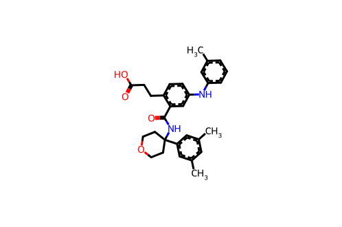 Cc1cccc(Nc2ccc(CCC(=O)O)c(C(=O)NC3(c4cc(C)cc(C)c4)CCOCC3)c2)c1